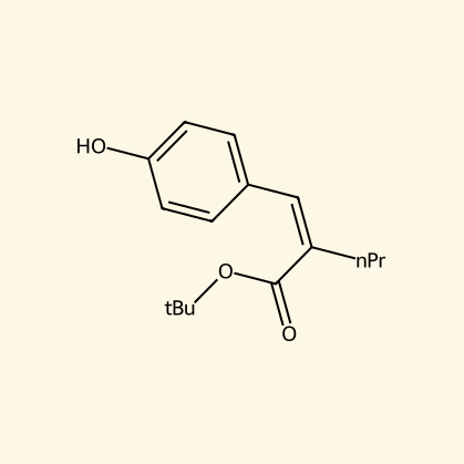 CCCC(=Cc1ccc(O)cc1)C(=O)OC(C)(C)C